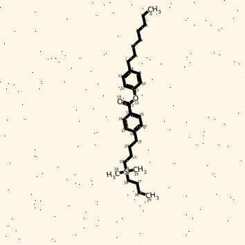 CCCCCCCCc1ccc(OC(=O)c2ccc(CCCC[Si](C)(C)CCCC)cc2)cc1